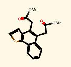 COC(=O)Cc1c(CC(=O)OC)c2ccsc2c2ccccc12